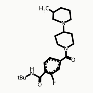 CC1CCCN(C2CCN(C(=O)c3ccc(C(=O)NC(C)(C)C)c(F)c3)CC2)C1